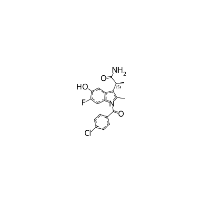 Cc1c([C@H](C)C(N)=O)c2cc(O)c(F)cc2n1C(=O)c1ccc(Cl)cc1